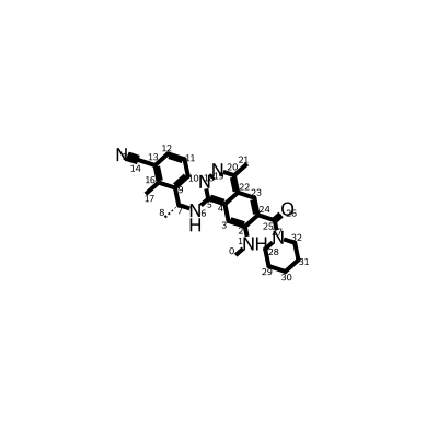 CNc1cc2c(N[C@H](C)c3cccc(C#N)c3C)nnc(C)c2cc1C(=O)N1CCCCC1